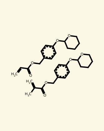 C=C(C)C(=O)OCc1ccc(OC2CCCCO2)cc1.C=CC(=O)OCc1ccc(OC2CCCCO2)cc1